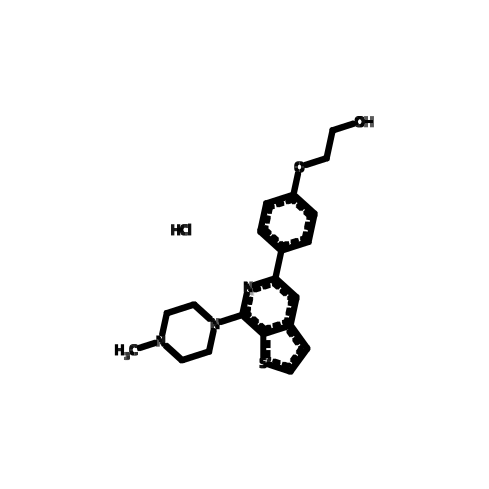 CN1CCN(c2nc(-c3ccc(OCCO)cc3)cc3ccsc23)CC1.Cl